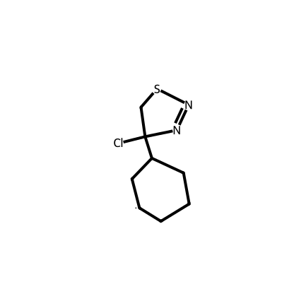 ClC1(C2C[CH]CCC2)CSN=N1